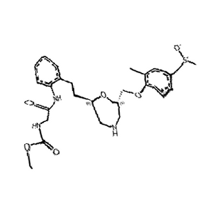 COC(=O)NCC(=O)Nc1ccccc1CC[C@@H]1CNC[C@@H](COc2ccc([S+](C)[O-])cc2C)O1